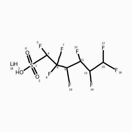 O=S(=O)(O)C(F)C(F)(F)C(F)C(F)C(F)C(F)F.[LiH]